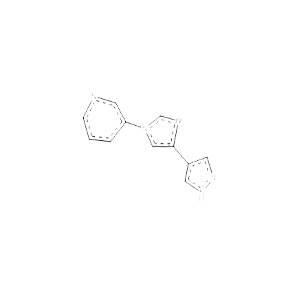 c1cncc(-n2cnc(-c3cn[nH]c3)c2)c1